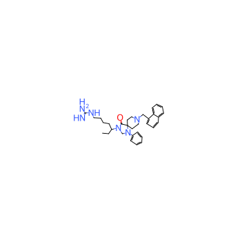 CCC(CCCCNC(=N)N)N1CN(c2ccccc2)C2(CCN(Cc3cccc4ccccc34)CC2)C1=O